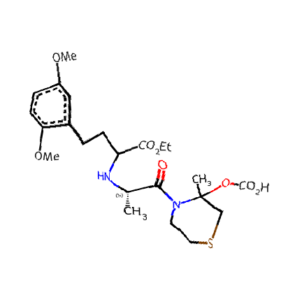 CCOC(=O)C(CCc1cc(OC)ccc1OC)N[C@@H](C)C(=O)N1CCSCC1(C)OC(=O)O